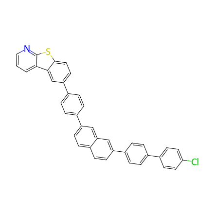 Clc1ccc(-c2ccc(-c3ccc4ccc(-c5ccc(-c6ccc7sc8ncccc8c7c6)cc5)cc4c3)cc2)cc1